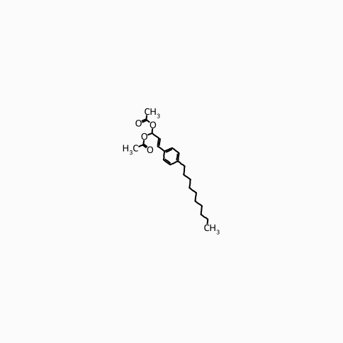 CCCCCCCCCCc1ccc(/C=C/C(OC(C)=O)OC(C)=O)cc1